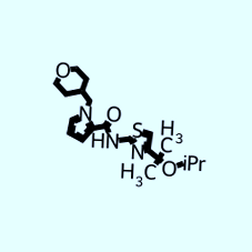 CC(C)OC(C)(C)c1csc(NC(=O)c2cccn2CC2CCOCC2)n1